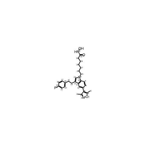 Cc1noc(C)c1-c1ccc2c(c1)c(CCc1ccc(F)cc1)cn2CCCCCCC(=O)NO